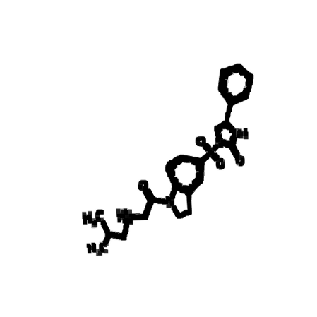 CC(C)CNCC(=O)N1CCc2cc(S(=O)(=O)n3cc(-c4ccccc4)[nH]c3=O)ccc21